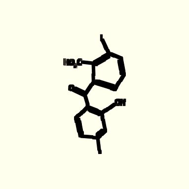 Cc1ccc(C(=O)c2cccc(I)c2C(=O)O)c(O)c1